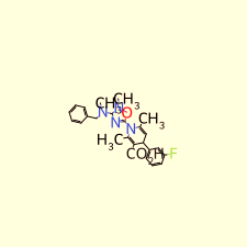 CC1=CC(c2cccc(F)c2)C(C(=O)O)=C(C)N1C1=NC(N(C)Cc2ccccc2)N(C)O1